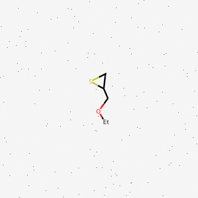 [CH2]COCC1CS1